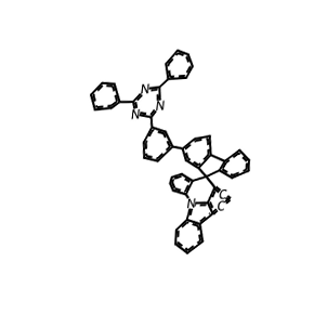 c1ccc(-c2nc(-c3ccccc3)nc(-c3cccc(-c4ccc5c(c4)C4(c6ccccc6-5)c5ccccc5-n5c6ccccc6c6cccc4c65)c3)n2)cc1